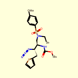 COc1ccc(S(=O)(=O)N(CC(C)C)C[C@@H](NC(=O)OC(C)(C)C)[C@H](Cc2cccs2)N=[N+]=[N-])cc1